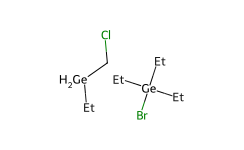 C[CH2][GeH2][CH2]Cl.C[CH2][Ge]([Br])([CH2]C)[CH2]C